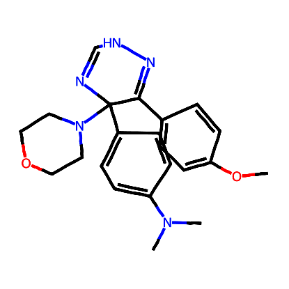 COc1ccc(C2=NNC=NC2(c2ccc(N(C)C)cc2)N2CCOCC2)cc1